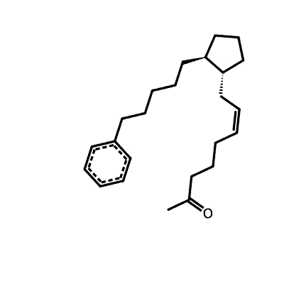 CC(=O)CCC/C=C\C[C@H]1CCC[C@@H]1CCCCCc1ccccc1